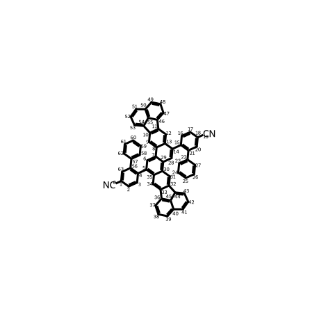 N#Cc1ccc(-c2cc3c4cc5c(cc4c(-c4ccc(C#N)cc4-c4ccccc4)cc3c3cc4c(cc23)-c2cccc3cccc-4c23)-c2cccc3cccc-5c23)c(-c2ccccc2)c1